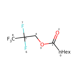 CCCCCCC(=O)OCC(F)(F)C(F)(F)F